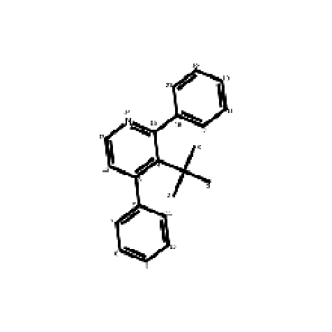 CC(C)(C)c1c(-c2ccccc2)ccnc1-c1ccccc1